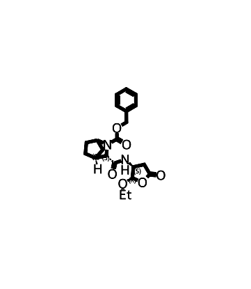 CCO[C@@H]1OC(=O)C[C@@H]1NC(=O)[C@@H]1[C@H]2CCC(C2)N1C(=O)OCc1ccccc1